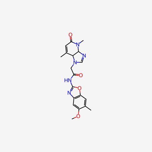 COc1cc2nc(NC(=O)CN3C=NC4C3C(C)=CC(=O)N4C)oc2cc1C